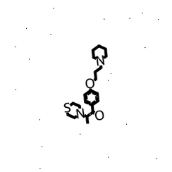 CC(C(=O)c1ccc(OCCCN2CCCCC2)cc1)N1CCSCC1